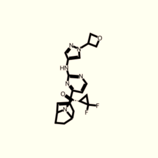 O=C([C@@H]1CC1(F)F)N1C2C=C(c3ccnc(Nc4cnn(C5COC5)c4)n3)CC1CC2